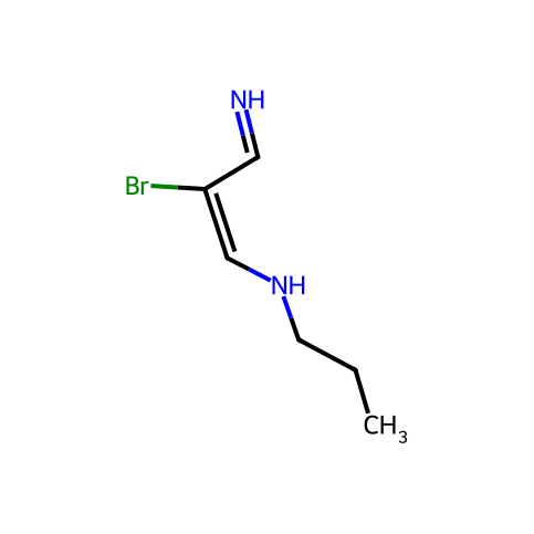 CCCN/C=C(/Br)C=N